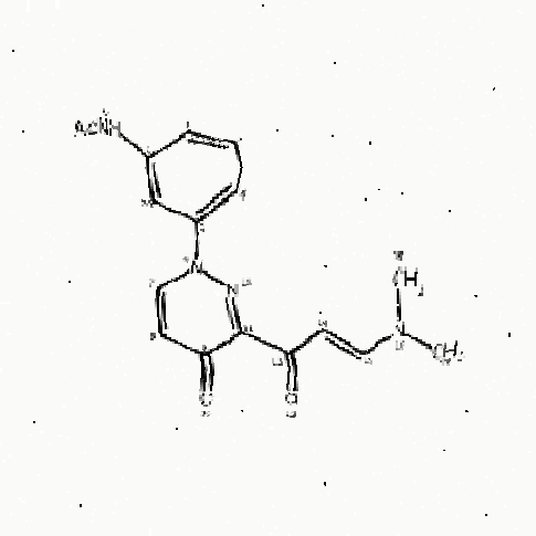 CC(=O)Nc1cccc(-n2ccc(=O)c(C(=O)/C=C/N(C)C)n2)c1